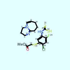 C1=CN2CCCN=C2CCC1.COC(=O)CSc1cc(NC(=S)S)c(F)cc1Cl